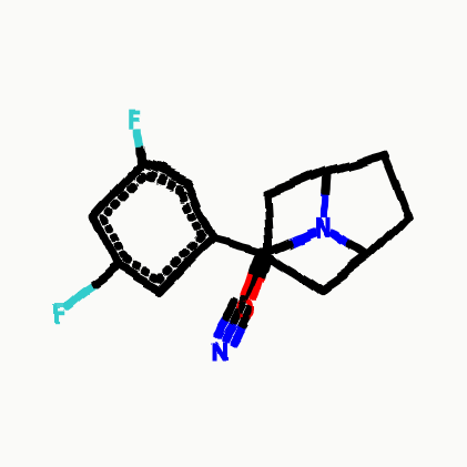 N#CC1(c2cc(F)cc(F)c2)CC2CCC(C1)N2C=O